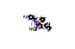 CC(=O)N1CCC(F)(c2csc(Nc3ncc(Sc4ccnc5ccsc45)cc3Oc3ccccc3)n2)CC1.Cl.Cl